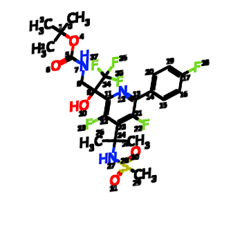 CC(C)(C)OC(=O)NCC(O)(c1nc(-c2ccc(F)cc2)c(F)c(C(C)(C)NS(C)(=O)=O)c1F)C(F)(F)F